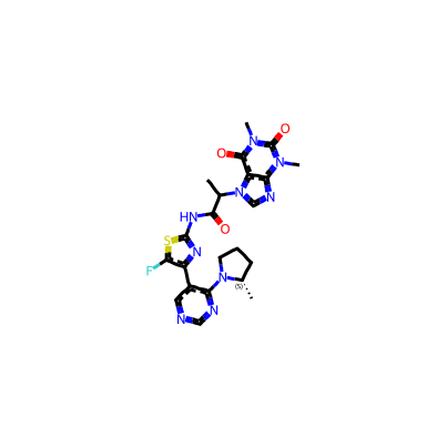 CC(C(=O)Nc1nc(-c2cncnc2N2CCC[C@@H]2C)c(F)s1)n1cnc2c1c(=O)n(C)c(=O)n2C